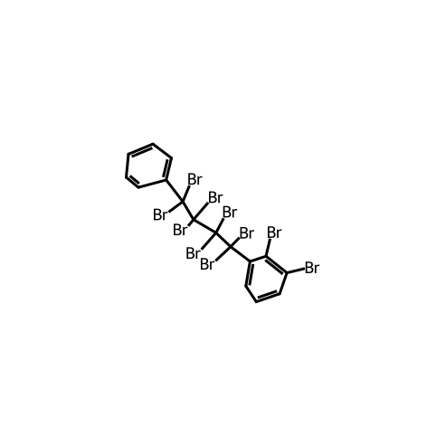 Brc1cccc(C(Br)(Br)C(Br)(Br)C(Br)(Br)C(Br)(Br)c2ccccc2)c1Br